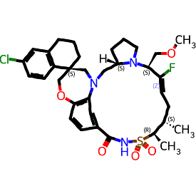 COC[C@H]1/C(F)=C/C[C@H](C)[C@@H](C)S(=O)(=O)NC(=O)c2ccc3c(c2)N(C[C@@H]2CCCN21)C[C@@]1(CCCc2cc(Cl)ccc21)CO3